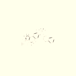 COc1cc2c(cc1OC1CCc3ccccc3C1)OC(C)(C)c1[se]nnc1-2